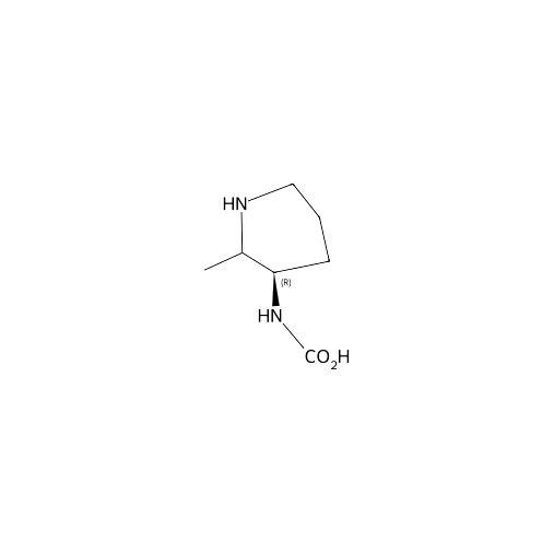 CC1NCCC[C@H]1NC(=O)O